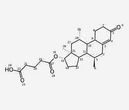 C[C@@H]1CC2=CC(=O)CCC2C2C1C1CC[C@H](OC(=O)CCCC(=O)O)[C@@]1(C)C[C@@H]2C